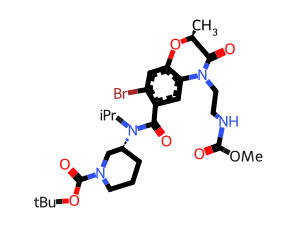 COC(=O)NCCN1C(=O)[C@@H](C)Oc2cc(Br)c(C(=O)N(C(C)C)[C@@H]3CCCN(C(=O)OC(C)(C)C)C3)cc21